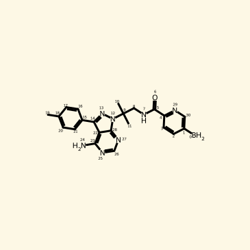 Bc1ccc(C(=O)NCC(C)(C)n2nc(-c3ccc(C)cc3)c3c(N)ncnc32)nc1